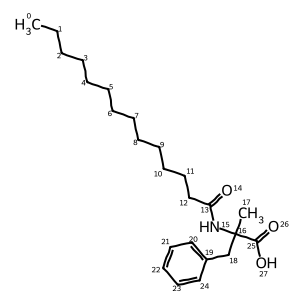 CCCCCCCCCCCCCC(=O)NC(C)(Cc1ccccc1)C(=O)O